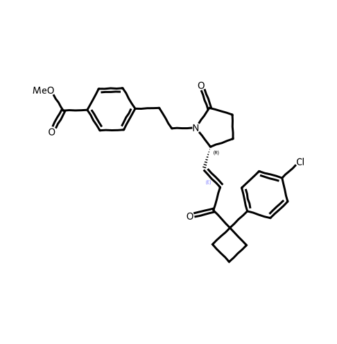 COC(=O)c1ccc(CCN2C(=O)CC[C@@H]2/C=C/C(=O)C2(c3ccc(Cl)cc3)CCC2)cc1